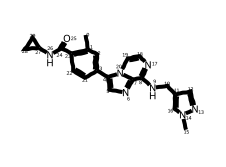 Cc1cc(-c2cnc3c(NCc4cnn(C)c4)nccn23)ccc1C(=O)NC1CC1